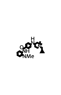 CNc1ccccc1NC(=O)c1ccc(NC2CCN(CC3CC3)C(C)(C)C2)cc1